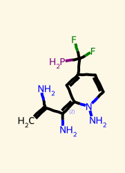 C=C(N)/C(N)=C1\C=C(C(F)(F)P)C=CN1N